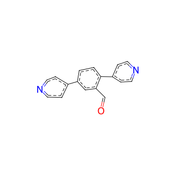 O=Cc1cc(-c2ccncc2)ccc1-c1ccncc1